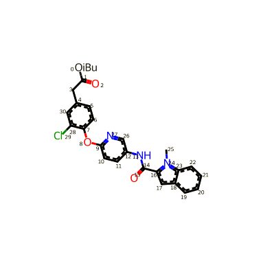 CC(C)COC(=O)Cc1ccc(Oc2ccc(NC(=O)c3cc4ccccc4n3C)cn2)c(Cl)c1